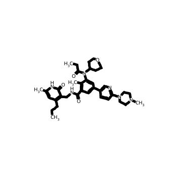 CCCc1cc(C)[nH]c(=O)c1CNC(=O)c1cc(-c2ccc(N3CCN(C)CC3)nc2)cc(N(C(=O)CC)C2CCOCC2)c1C